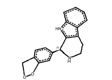 c1ccc2c3c([nH]c2c1)[C@H](c1ccc2c(c1)OOC2)NCC3